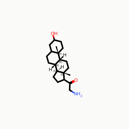 C[C@]12CCC(O)CC1CC[C@@H]1[C@H]2CC[C@]2(C)C(C(=O)CN)CC[C@@H]12